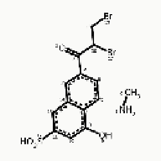 CN.O=C(c1ccc2c(O)cc(S(=O)(=O)O)cc2c1)C(Br)CBr